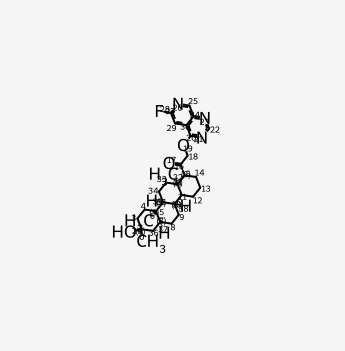 C[C@@]1(O)CC[C@@]2(C)[C@@H](CC[C@H]3C4CCC[C@H](C(=O)COc5ncnc6cnc(F)cc56)[C@@]4(C)CC[C@@H]32)C1